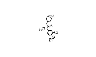 CCOc1ccc(CNCC2CCNCC2)cc1Cl.Cl